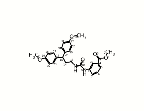 COC(=O)c1cccc(NC(=O)NCCC(c2ccc(OC)cc2)c2ccc(OC)cc2)c1